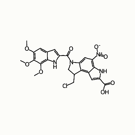 COc1cc2cc(C(=O)N3CC(CCl)c4c3cc([N+](=O)[O-])c3[nH]c(C(=O)O)cc43)[nH]c2c(OC)c1OC